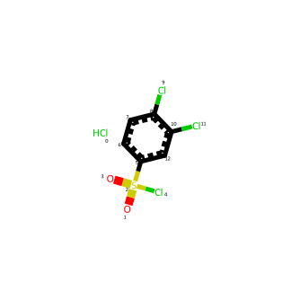 Cl.O=S(=O)(Cl)c1ccc(Cl)c(Cl)c1